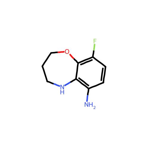 Nc1ccc(F)c2c1NCCCO2